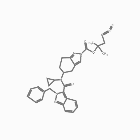 CC(C)(CN=[N+]=[N-])OC(=O)n1cc2c(n1)CCC(N(C(=O)c1c3ccccc3nn1Cc1ccccc1)C1CC1)C2